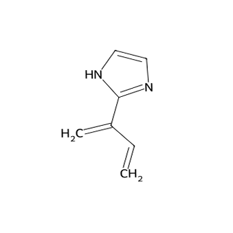 C=CC(=C)c1ncc[nH]1